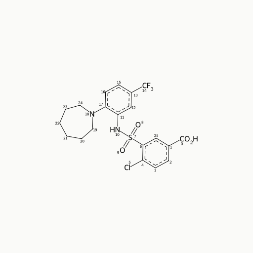 O=C(O)c1ccc(Cl)c(S(=O)(=O)Nc2cc(C(F)(F)F)ccc2N2CCCCCC2)c1